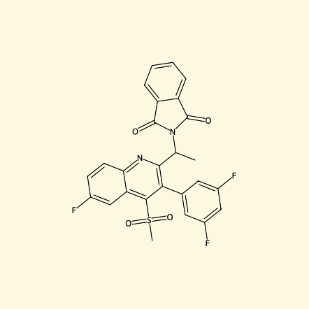 CC(c1nc2ccc(F)cc2c(S(C)(=O)=O)c1-c1cc(F)cc(F)c1)N1C(=O)c2ccccc2C1=O